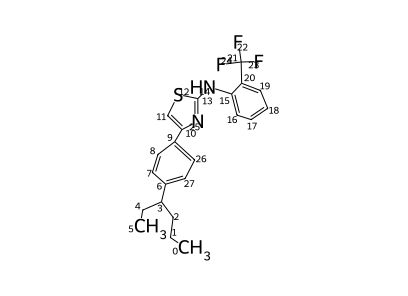 CCCC(CC)c1ccc(-c2csc(Nc3ccccc3C(F)(F)F)n2)cc1